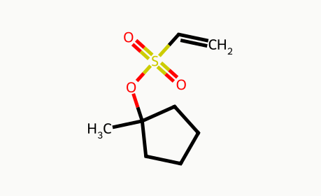 C=CS(=O)(=O)OC1(C)CCCC1